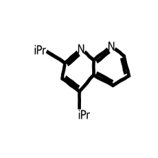 CC(C)c1cc(C(C)C)c2cccnc2n1